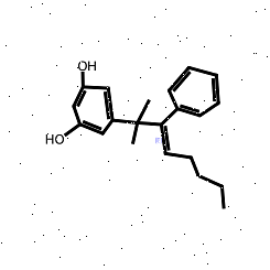 CCCC/C=C(\c1ccccc1)C(C)(C)c1cc(O)cc(O)c1